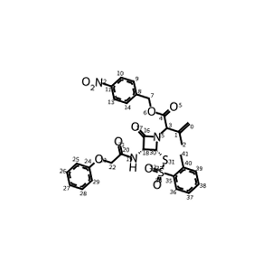 C=C(C)C(C(=O)OCc1ccc([N+](=O)[O-])cc1)N1C(=O)[C@@H](NC(=O)COc2ccccc2)[C@H]1SS(=O)(=O)c1ccccc1C